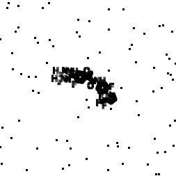 N/N=C(\NN)c1cc2occ(C(=O)Nc3ccc(N4CCCC4C(F)(F)F)c(F)c3)c2cc1F